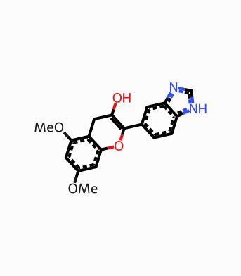 COc1cc(OC)c2c(c1)OC(c1ccc3[nH]cnc3c1)=C(O)C2